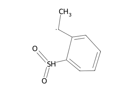 C[CH]c1ccccc1[SH](=O)=O